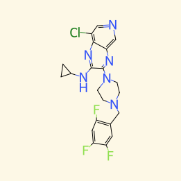 Fc1cc(F)c(CN2CCN(c3nc4cncc(Cl)c4nc3NC3CC3)CC2)cc1F